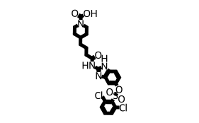 O=C(CCCC1CCN(C(=O)O)CC1)Nc1nc2cc(OS(=O)(=O)c3c(Cl)cccc3Cl)ccc2[nH]1